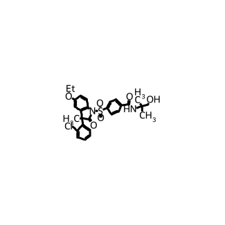 CCOc1ccc2c(c1)C(C)(c1ccccc1Cl)C(=O)N2S(=O)(=O)c1ccc(C(=O)NC(C)(C)CO)cc1